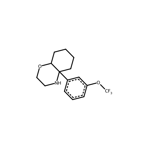 FC(F)(F)Oc1cccc(C23CCCCC2OCCN3)c1